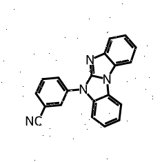 N#Cc1cccc(-n2c3ccccc3n3c4ccccc4nc23)c1